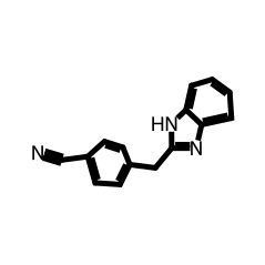 N#Cc1ccc(Cc2nc3ccccc3[nH]2)cc1